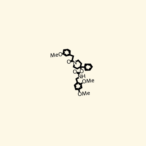 COc1cccc(CC(=O)N2CCC(OC(=O)NCc3ccc(OC)cc3OC)(c3ccccc3)CC2)c1